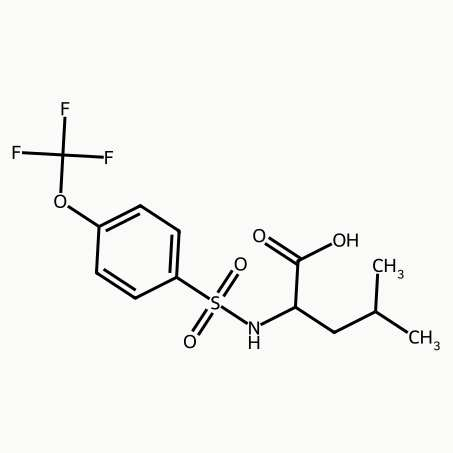 CC(C)CC(NS(=O)(=O)c1ccc(OC(F)(F)F)cc1)C(=O)O